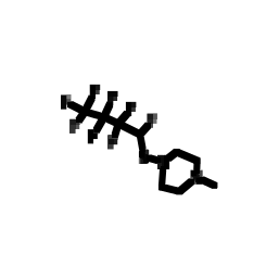 CN1CCN(SC(F)C(F)(F)C(F)(F)C(F)(F)F)CC1